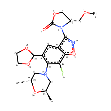 CCOC[C@H]1COC(=O)N1c1noc2c(F)c(N3C[C@@H](C)O[C@H](C)C3)c(C3OCCO3)cc12